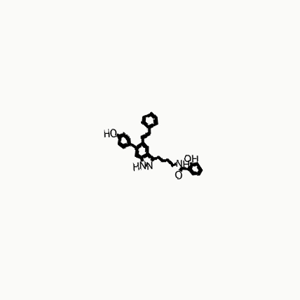 O=C(NCCCCc1n[nH]c2cc(-c3ccc(O)cc3)c(C=Cc3ccccc3)cc12)c1ccccc1O